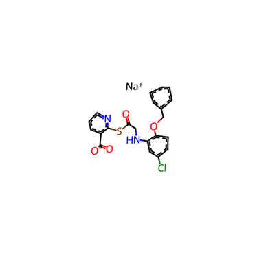 O=C(CNc1cc(Cl)ccc1OCc1ccccc1)Sc1ncccc1C(=O)[O-].[Na+]